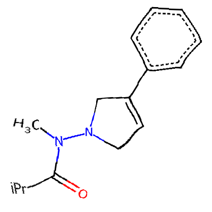 CC(C)C(=O)N(C)N1CC=C(c2ccccc2)C1